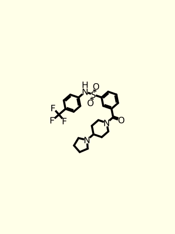 O=C(c1cccc(S(=O)(=O)Nc2ccc(C(F)(F)F)cc2)c1)N1CCC(N2CCCC2)CC1